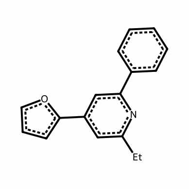 CCc1cc(-c2ccco2)cc(-c2ccccc2)n1